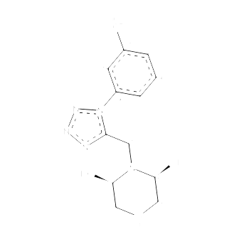 C[C@@H]1COC[C@H](C)N1Cc1nnnn1-c1cccc(C(F)(F)F)c1